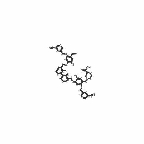 CCc1cc(Cl)c(OCc2cccc(-c3cccc(COc4cc(OCc5cncc(C#N)c5)c(CN5CCCC(C(=O)O)C5)cc4Cl)c3C)c2C)cc1OCc1cncc(C#N)c1